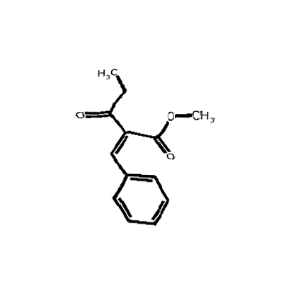 CCC(=O)C(=Cc1ccccc1)C(=O)OC